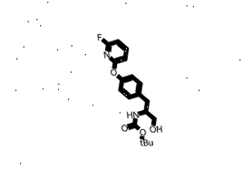 CC(C)(C)OC(=O)NC(CO)Cc1ccc(Oc2cccc(F)n2)cc1